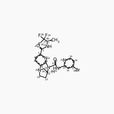 C[C@@H](NC(=O)c1ccc2c(n1)N(C(=O)Nc1cc(Br)ccn1)[C@H]1CCN2C1)C(F)(F)F